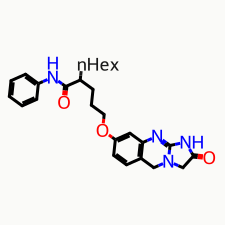 CCCCCCC(CCCOc1ccc2c(c1)N=C1NC(=O)CN1C2)C(=O)Nc1ccccc1